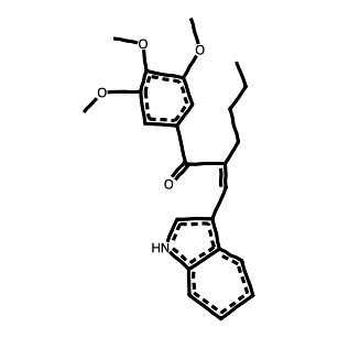 CCCCC(=Cc1c[nH]c2ccccc12)C(=O)c1cc(OC)c(OC)c(OC)c1